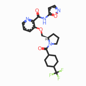 O=C(Nc1ccno1)c1ncccc1OC[C@H]1CCCN1C(=O)C1CCC(C(F)(F)F)CC1